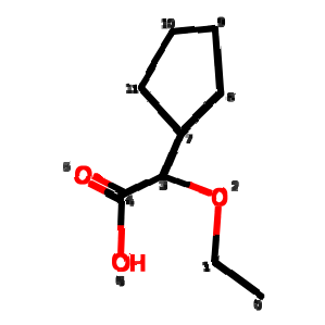 CCOC(C(=O)O)C1CCCC1